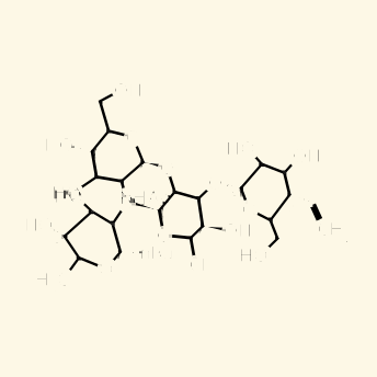 C=C[C@@H]1C(CO)O[C@H](OC2C(O[C@@H]3OC(CO)[C@@H](O)C(O)C3NC(C)=O)[C@H](OC3C(O)[C@@H](O)C(C)O[C@H]3CCCC)OC(C)[C@@H]2O)C(O)C1O